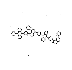 c1ccc(-c2c3ccccc3c(-c3ccc4c(c3)sc3ccc5c(-c6ccc(-c7c8ccccc8c(-c8ccc9c(c8)sc8ccc%10ccc%11c%12ccccc%12sc%11c%10c89)c8ccccc78)cc6)cc6sc7ccccc7c6c5c34)c3ccccc23)cc1